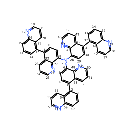 c1cc(-c2ccc(N(c3ccc(-c4cccc5ncccc45)c4cccnc34)c3ccc(-c4cccc5ncccc45)c4cccnc34)c3ncccc23)c2cccnc2c1